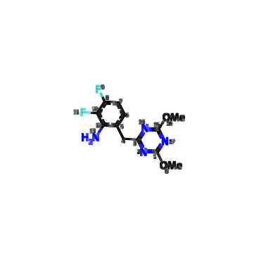 COc1nc(Cc2ccc(F)c(F)c2N)nc(OC)n1